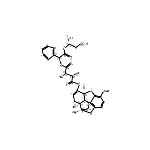 COc1ccc2c3c1O[C@@H]1C(OC(=O)[C@H](O)[C@@H](O)C(=O)O[C@H](C(=O)O[C@@H](CC(=O)O)C(=O)O)c4ccccc4)=CC[C@]4(O)[C@@H](CCC[C@@]314)C2